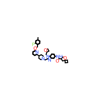 Cc1ccc(COc2cccc(C3CCN(Cc4nc5cc(NC(=O)C6COC7(CCC7)C6)ccc5n4CC4CCO4)CC3)n2)c(F)c1